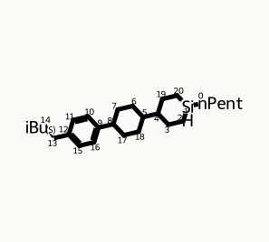 CCCCC[SiH]1CCC(C2CCC(c3ccc(C[C@@H](C)CC)cc3)CC2)CC1